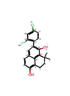 CC1(C)CCc2c(O)ccc3cc(-c4ccc(Cl)cc4F)c(O)c1c23